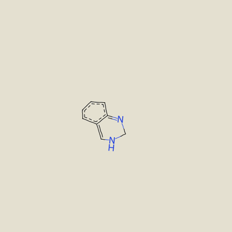 C1=c2ccccc2=NCN1